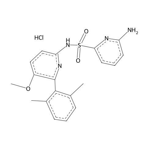 COc1ccc(NS(=O)(=O)c2cccc(N)n2)nc1-c1c(C)cccc1C.Cl